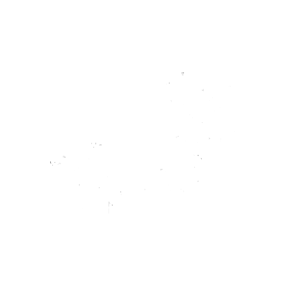 COc1ccc(C(C)NCCCOc2ccc(NC(=O)c3cccc4c(=O)c5ccccc5sc34)cc2)cc1OC